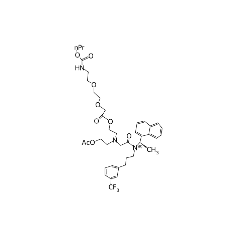 CCCOC(=O)NCCOCCOCC(=O)OCCN(CCOC(C)=O)CC(=O)N(CCCc1cccc(C(F)(F)F)c1)[C@H](C)c1cccc2ccccc12